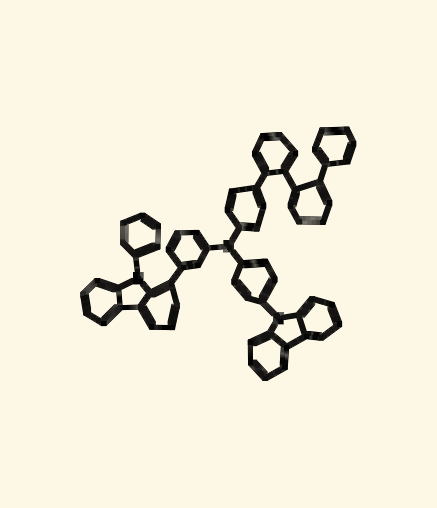 c1ccc(-c2ccccc2-c2ccccc2-c2ccc(N(c3ccc(-n4c5ccccc5c5ccccc54)cc3)c3cccc(-c4cccc5c6ccccc6n(-c6ccccc6)c45)c3)cc2)cc1